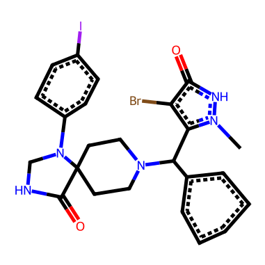 Cn1[nH]c(=O)c(Br)c1C(c1ccccc1)N1CCC2(CC1)C(=O)NCN2c1ccc(I)cc1